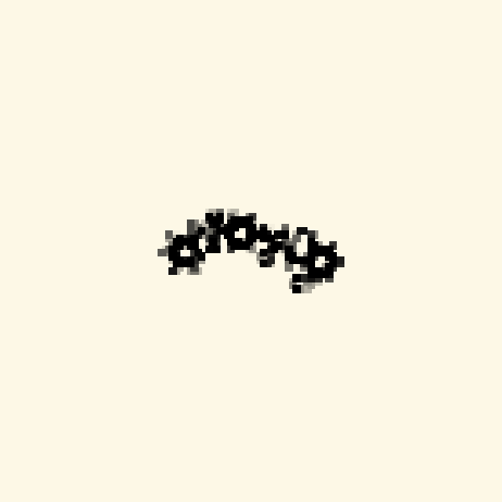 O=C(/C=C/c1c(Cl)cccc1Cl)Nc1ccc(S(=O)(=O)Nc2ccccn2)cc1